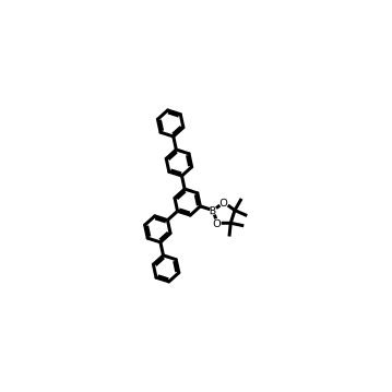 CC1(C)OB(c2cc(-c3ccc(-c4ccccc4)cc3)cc(-c3cccc(-c4ccccc4)c3)c2)OC1(C)C